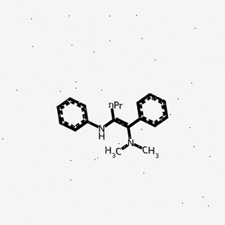 CCCC(Nc1ccccc1)=C(c1ccccc1)N(C)C